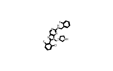 Fc1ccccc1CNc1ncc2nc(-c3c(F)cccc3Cl)n(C[C@@H]3CCNC3)c2n1